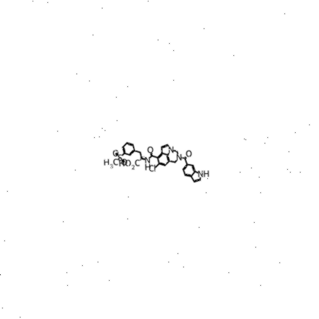 CS(=O)(=O)c1cccc(C[C@H](NC(=O)c2c(Cl)cc3c4c2ccn4CN(C(=O)c2ccc4cc[nH]c4c2)C3)C(=O)O)c1